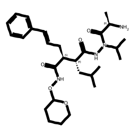 CC(C)C[C@@H](C(=O)NN(C(=O)[C@@H](C)N)C(C)C)[C@H](CC=Cc1ccccc1)C(=O)NOC1CCCCO1